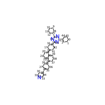 c1ccc(-c2nc(-c3ccccc3)nc(-c3ccc(-c4cccc5c(-c6ccc(-c7ccncc7)cc6)cccc45)cc3)n2)cc1